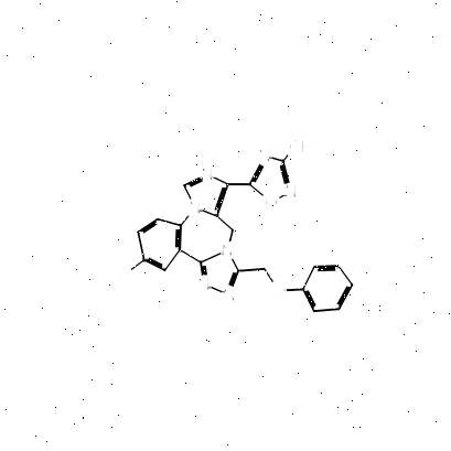 Cc1ccc2c(c1)-c1nnc(COc3ccccc3)n1Cc1c(-c3nc(C)no3)ncn1-2